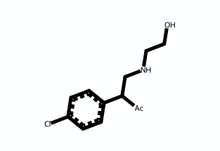 CC(=O)C(CNCCO)c1ccc(Cl)cc1